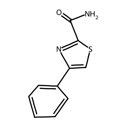 NC(=O)c1nc(-c2ccccc2)cs1